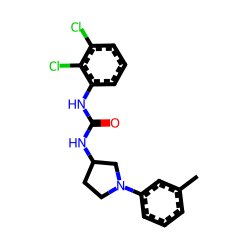 Cc1cccc(N2CCC(NC(=O)Nc3cccc(Cl)c3Cl)C2)c1